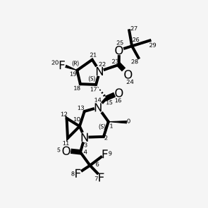 C[C@H]1CN(C(=O)C(F)(F)F)C2(CC2)CN1C(=O)[C@@H]1C[C@@H](F)CN1C(=O)OC(C)(C)C